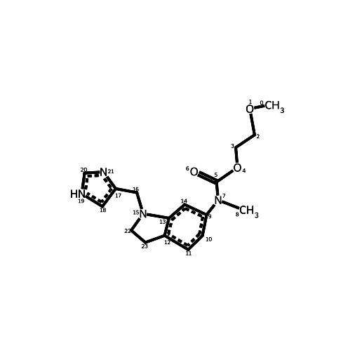 COCCOC(=O)N(C)c1ccc2c(c1)N(Cc1c[nH]cn1)CC2